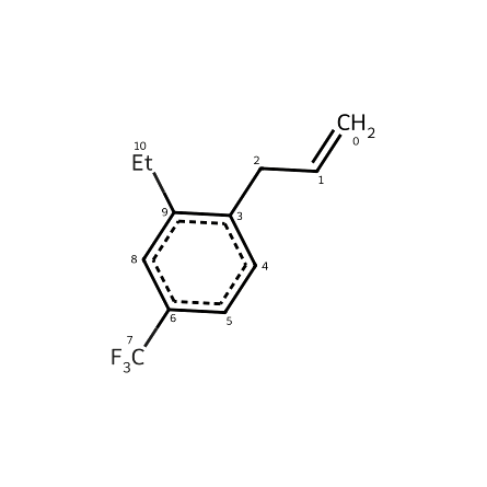 C=CCc1ccc(C(F)(F)F)cc1CC